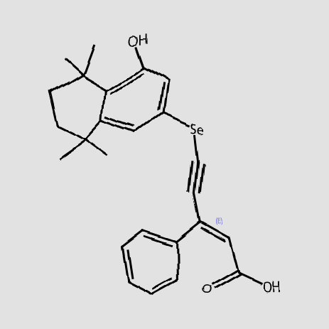 CC1(C)CCC(C)(C)c2c(O)cc([Se]C#C/C(=C/C(=O)O)c3ccccc3)cc21